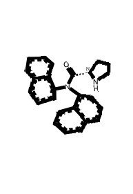 O=C([C@@H]1CCCN1)N(c1cccc2ccccc12)c1cccc2ccccc12